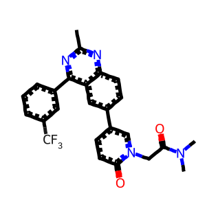 Cc1nc(-c2cccc(C(F)(F)F)c2)c2cc(-c3ccc(=O)n(CC(=O)N(C)C)c3)ccc2n1